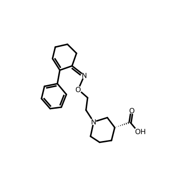 O=C(O)[C@@H]1CCCN(CCON=C2CCCC=C2c2ccccc2)C1